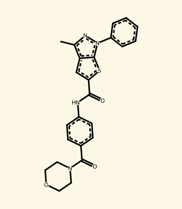 Cc1nn(-c2ccccc2)c2sc(C(=O)Nc3ccc(C(=O)N4CCOCC4)cc3)cc12